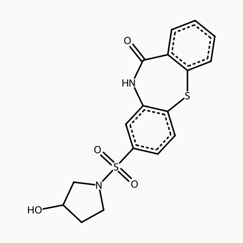 O=C1Nc2cc(S(=O)(=O)N3CCC(O)C3)ccc2Sc2ccccc21